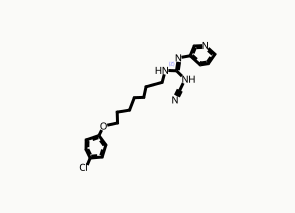 N#CN/C(=N\c1cccnc1)NCCCCCCCOc1ccc(Cl)cc1